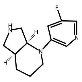 Fc1cncc(N2CCC[C@H]3CNC[C@H]32)c1